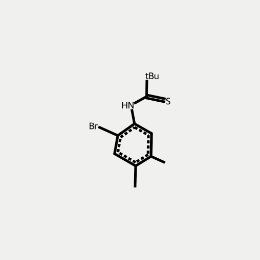 Cc1cc(Br)c(NC(=S)C(C)(C)C)cc1C